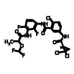 CC(OC(F)F)C(=O)Nc1c(F)ccc(NC(=O)c2cc(NC(=O)[C@H]3CC3(Cl)Cl)ccc2Cl)c1F